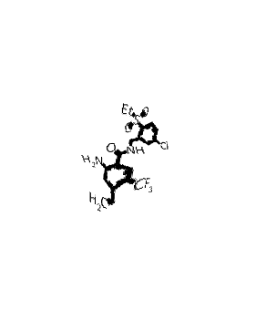 C=Cc1cc(N)c(C(=O)NCc2cc(Cl)ccc2S(=O)(=O)CC)cc1C(F)(F)F